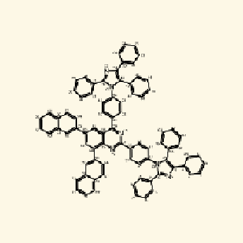 c1ccc(-c2nc(-c3ccccc3)n(-c3ccc(-c4nc(-c5ccc(-n6c(-c7ccccc7)nc(-c7ccccc7)c6-c6ccccc6)cc5)c5cc(-c6ccc7ccccc7c6)cc(-c6ccc7ccccc7c6)c5n4)cc3)c2-c2ccccc2)cc1